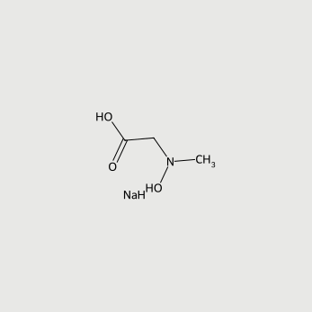 CN(O)CC(=O)O.[NaH]